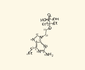 CCSc1nc(N)nc2c1ncn2CCOC(CC)(CC)P(=O)(O)O